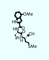 C#C[C@H](CCSC)NC(=O)[C@H](CC(C)C)NC(=O)c1cc2c(OC)cccc2[nH]1